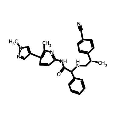 Cc1nc(NC(=O)C(NC[C@H](C)c2ccc(C#N)cc2)c2ccccc2)ccc1-c1cnn(C)c1